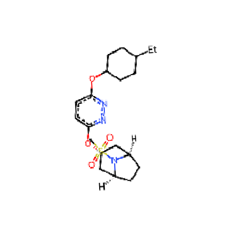 CCC1CCC(Oc2ccc(O[C@@H]3C[C@H]4CC[C@@H](C3)N4S(C)(=O)=O)nn2)CC1